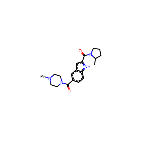 CC(C)N1CCN(C(=O)c2ccc3[nH]c(C(=O)N4CCCC4C)cc3c2)CC1